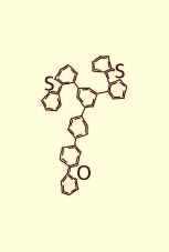 c1ccc2c(c1)oc1cc(-c3ccc(-c4cc(-c5cccc6sc7ccccc7c56)cc(-c5cccc6sc7ccccc7c56)c4)cc3)ccc12